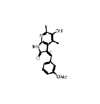 COc1cccc(/C=C2\C(=O)Nc3nc(C)c(O)c(C)c32)c1